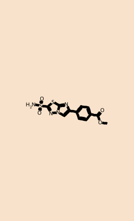 COC(=O)c1ccc(-c2cn3nc(S(N)(=O)=O)sc3n2)cc1